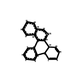 C1=CC2c3ccccc3-c3c(ncc4ccccc34)C2C=C1